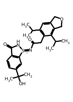 CC(C)c1cc2c(c(C(C)C)c1CC(=O)/N=S1\NC(=O)c3ccc(C(C)(C)O)cc31)COC2